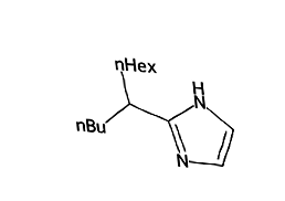 CCCCCCC(CCCC)c1ncc[nH]1